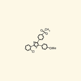 COc1ccc(-c2sc(-c3ccccc3Cl)nc2-c2ccc(S(C)(=O)=O)cc2)cc1